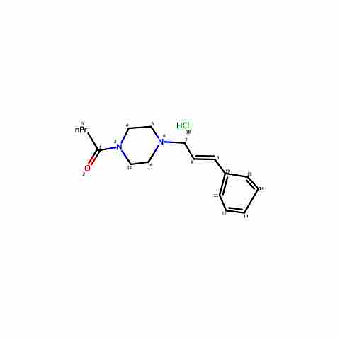 CCCC(=O)N1CCN(CC=Cc2ccccc2)CC1.Cl